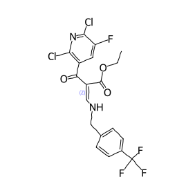 CCOC(=O)/C(=C\NCc1ccc(C(F)(F)F)cc1)C(=O)c1cc(F)c(Cl)nc1Cl